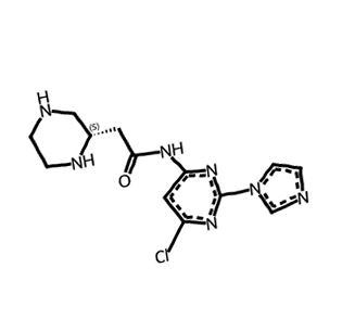 O=C(C[C@H]1CNCCN1)Nc1cc(Cl)nc(-n2ccnc2)n1